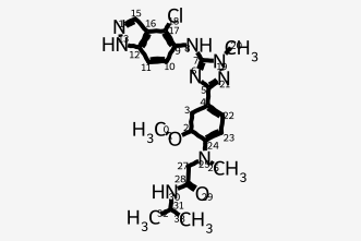 COC1CC(c2nc(Nc3ccc4[nH]ncc4c3Cl)n(C)n2)=CC=C1N(C)CC(=O)NC(C)C